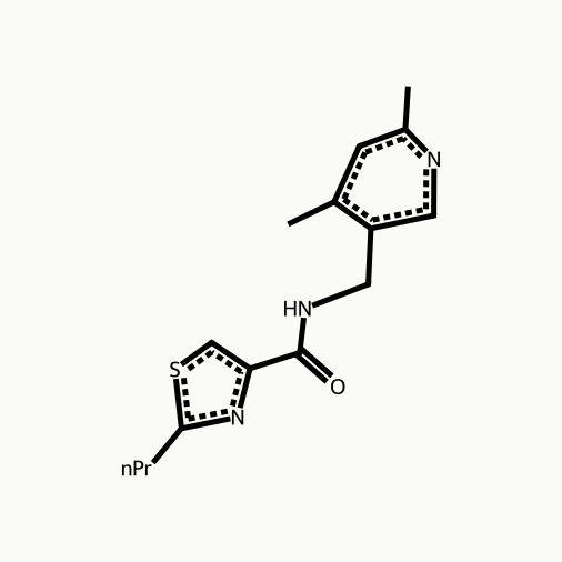 CCCc1nc(C(=O)NCc2cnc(C)cc2C)cs1